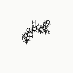 CCOc1ncc(C2=C(C)NCC(NC(=O)c3ccnc(C(C)(C)F)c3)=C2)cc1N1CCOCC1